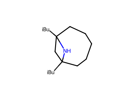 CCC(C)C12CCCCCC(C(C)CC)(C1)N2